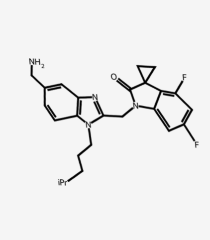 CC(C)CCCn1c(CN2C(=O)C3(CC3)c3c(F)cc(F)cc32)nc2cc(CN)ccc21